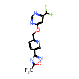 FC(F)c1cc(OCc2ccc(-c3noc(C(F)(F)F)n3)cn2)ncn1